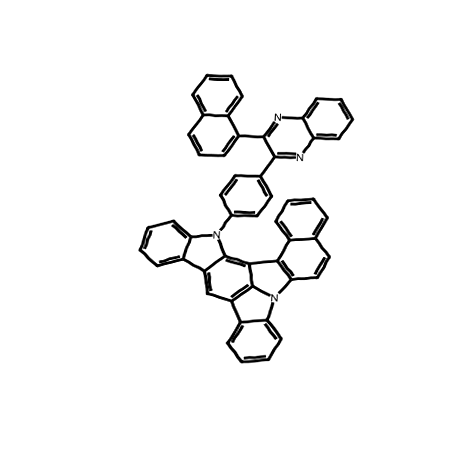 c1ccc2c(-c3nc4ccccc4nc3-c3ccc(-n4c5ccccc5c5cc6c7ccccc7n7c8ccc9ccccc9c8c(c54)c67)cc3)cccc2c1